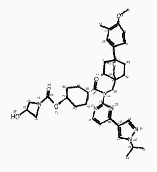 COc1ccc(C23CCC(CN(c4nccc(-c5cnn(C(C)C)c5)n4)C(=O)[C@H]4CC[C@H](OC(=O)N5CC(O)C5)CC4)(CC2)CC3)cc1C